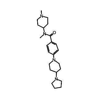 CN1CCC(N(C)C(=O)c2ccc(N3CCC(N4CCCC4)CC3)cc2)CC1